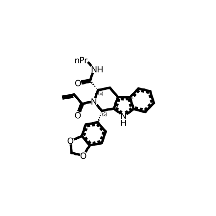 C=CC(=O)N1[C@@H](c2ccc3c(c2)OCO3)c2[nH]c3ccccc3c2C[C@H]1C(=O)NCCC